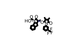 CC1=C(C)C(O/C=C2/C(=O)N(C(=O)O)C3c4ccccc4CC23)N(c2cccc(C(F)(F)F)c2)C1=O